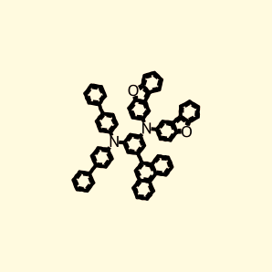 c1ccc(-c2ccc(N(c3ccc(-c4ccccc4)cc3)c3cc(-c4cc5ccccc5c5ccccc45)cc(N(c4ccc5oc6ccccc6c5c4)c4ccc5oc6ccccc6c5c4)c3)cc2)cc1